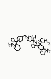 COc1cc(N)c(Cl)cc1C(=O)NC1CCN(CC2CCN(C(=O)C3CCCCCN3)CC2)CC1